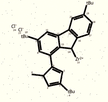 CC1C=C(C(C)(C)C)C=C1c1cc(C(C)(C)C)cc2c1[CH]([Zr+2])c1ccc(C(C)(C)C)cc1-2.[Cl-].[Cl-]